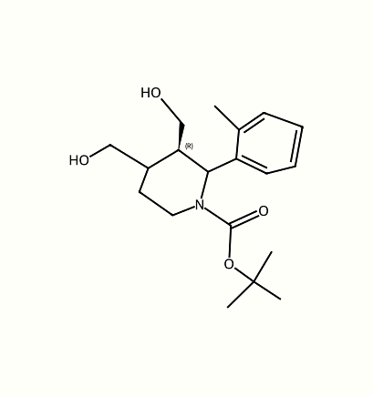 Cc1ccccc1C1[C@H](CO)C(CO)CCN1C(=O)OC(C)(C)C